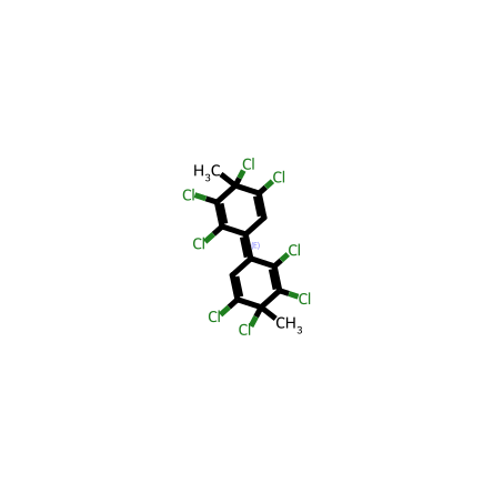 CC1(Cl)C(Cl)=C/C(=C2/C=C(Cl)C(C)(Cl)C(Cl)=C2Cl)C(Cl)=C1Cl